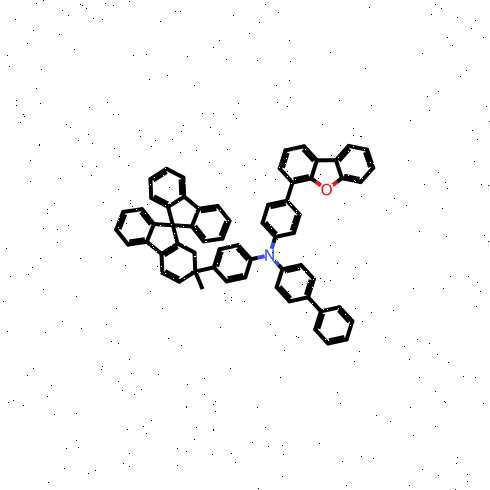 CC1(c2ccc(N(c3ccc(-c4ccccc4)cc3)c3ccc(-c4cccc5c4oc4ccccc45)cc3)cc2)C=CC2=C(C1)C1(c3ccccc32)c2ccccc2-c2ccccc21